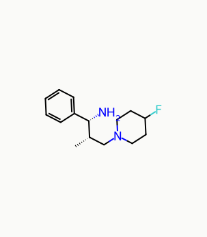 C[C@@H](CN1CCC(F)CC1)[C@@H](N)c1ccccc1